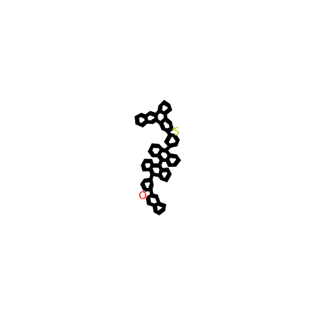 c1ccc2cc3c(cc2c1)oc1ccc(-c2c4ccccc4c(-c4c5ccccc5c(-c5ccc6sc7cc8c9ccccc9c9cc%10ccccc%10cc9c8cc7c6c5)c5ccccc45)c4ccccc24)cc13